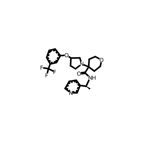 C[C@H](NC(=O)C1(N2CCC(Oc3cccc(C(F)(F)F)c3)C2)CCOCC1)c1cccnc1